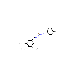 COc1cc(CNC(=S)NCc2ccc(C(C)(C)C)cc2)cc(OC)c1OC